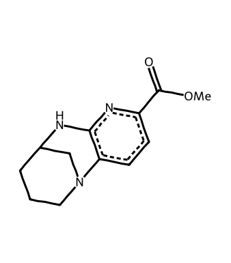 COC(=O)c1ccc2c(n1)NC1CCCN2C1